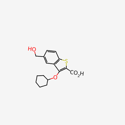 O=C(O)c1sc2ccc(CO)cc2c1OC1CCCCC1